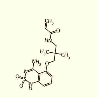 C=CC(=O)NCC(C)(C)COc1cccc2c1C(N)=NS(=O)(=O)N2